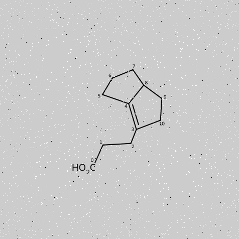 O=C(O)CCC1=C2CCCC2CC1